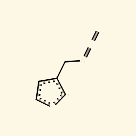 S=C=NCc1ccsc1